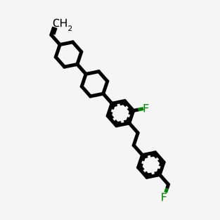 C=CC1CCC(C2CCC(c3ccc(CCc4ccc(CF)cc4)c(F)c3)CC2)CC1